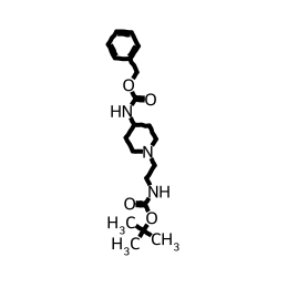 CC(C)(C)OC(=O)NCCN1CCC(NC(=O)OCc2ccccc2)CC1